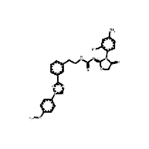 Cc1ccc(N2C(=O)CS/C2=N\C(=S)NCCc2cccc(-c3ncn(-c4ccc(OC(F)(F)F)cc4)n3)c2)c(C(C)C)c1